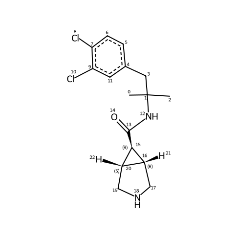 CC(C)(Cc1ccc(Cl)c(Cl)c1)NC(=O)[C@H]1[C@@H]2CNC[C@@H]21